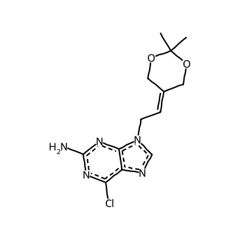 CC1(C)OCC(=CCn2cnc3c(Cl)nc(N)nc32)CO1